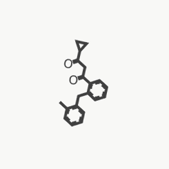 Cc1ccccc1Cc1ccccc1C(=O)CC(=O)C1CC1